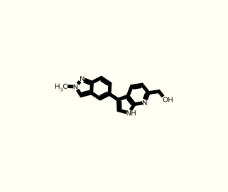 Cn1cc2cc(-c3c[nH]c4nc(CO)ccc34)ccc2n1